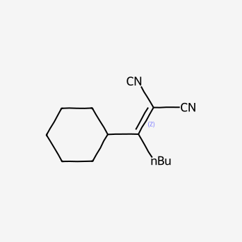 [C-]#[N+]/C(C#N)=C(/CCCC)C1CCCCC1